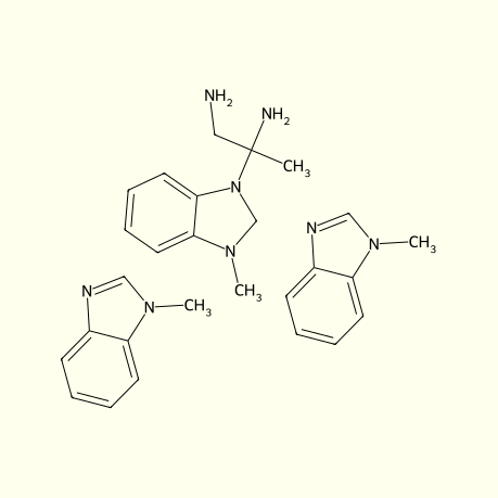 CN1CN(C(C)(N)CN)c2ccccc21.Cn1cnc2ccccc21.Cn1cnc2ccccc21